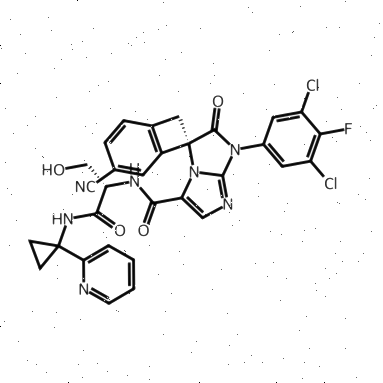 N#Cc1ccc2c(c1)[C@@]1(C2)C(=O)N(c2cc(Cl)c(F)c(Cl)c2)c2ncc(C(=O)N[C@@H](CO)C(=O)NC3(c4ccccn4)CC3)n21